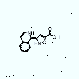 O=C(O)C1=CC(=C2NC=Cc3ccccc32)NO1